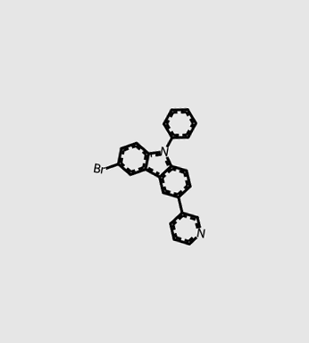 Brc1ccc2c(c1)c1cc(-c3cccnc3)ccc1n2-c1ccccc1